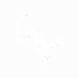 C#CCC1CN(C(=O)c2ccc([N+](=O)[O-])c(OC)c2)CCO1